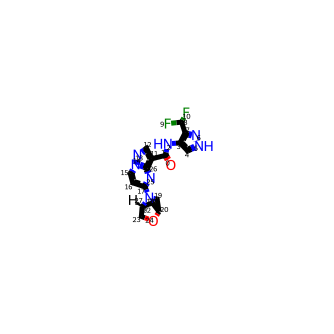 O=C(Nc1c[nH]nc1C(F)F)c1cnn2ccc(N3CC4C[C@@H]3CO4)nc12